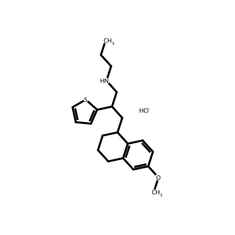 CCCNCC(CC1CCCc2cc(OC)ccc21)c1cccs1.Cl